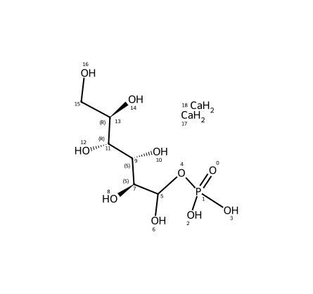 O=P(O)(O)OC(O)[C@@H](O)[C@@H](O)[C@H](O)[C@H](O)CO.[CaH2].[CaH2]